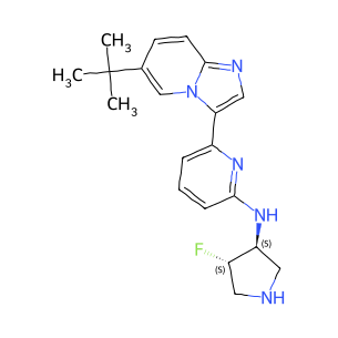 CC(C)(C)c1ccc2ncc(-c3cccc(N[C@H]4CNC[C@@H]4F)n3)n2c1